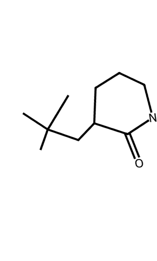 CC(C)(C)CC1CCCNC1=O